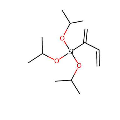 C=CC(=C)[Si](OC(C)C)(OC(C)C)OC(C)C